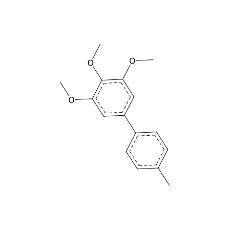 COc1cc(-c2ccc(C)cc2)cc(OC)c1OC